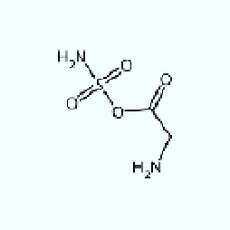 NCC(=O)OS(N)(=O)=O